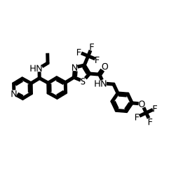 CCNC(c1ccncc1)c1cccc(-c2nc(C(F)(F)F)c(C(=O)NCc3cccc(OC(F)(F)F)c3)s2)c1